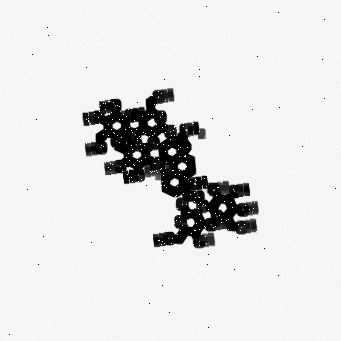 C=C1C[C@@]23CCC4[C@@](C)(CCC[C@@]4(C)C(=O)OC4OC(CO)C(O)C(O)C4OC4OC(CO)C(O)C(O)C4O)C2CC[C@]1(OC1OC(CO)C(O)C(OC2CC(CO)C(O)C(O)C2O)C1OC1OC(CO)C(O)C(O)C1O)C3